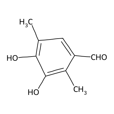 Cc1cc(C=O)c(C)c(O)c1O